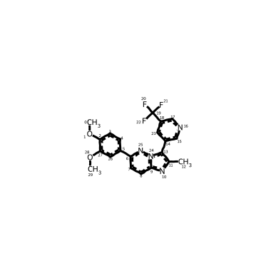 COc1ccc(-c2ccc3nc(C)c(-c4cncc(C(F)(F)F)c4)n3n2)cc1OC